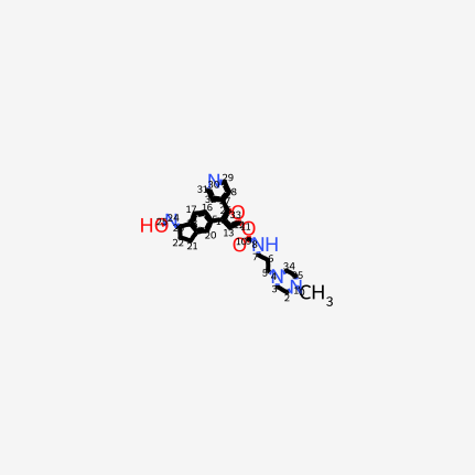 CN1CCN(CCCNC(=O)Oc2cc(-c3ccc4c(c3)CCC4=NO)c(-c3ccncc3)o2)CC1